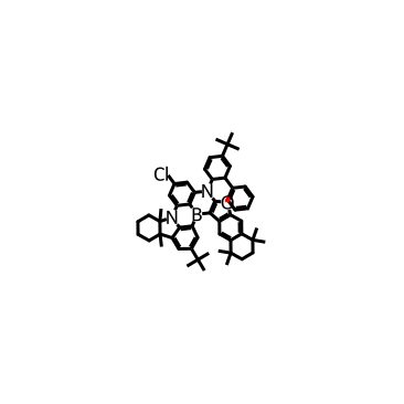 CC(C)(C)C1=CC(c2ccccc2)C(N2c3cc(Cl)cc4c3B(c3cc(C(C)(C)C)cc5c3N4C3(C)CCCCC53C)c3c2oc2cc4c(cc32)C(C)(C)CCC4(C)C)C=C1